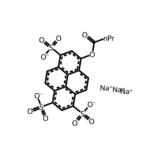 CCCC(=O)Oc1cc(S(=O)(=O)[O-])c2ccc3c(S(=O)(=O)[O-])cc(S(=O)(=O)[O-])c4ccc1c2c43.[Na+].[Na+].[Na+]